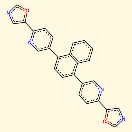 c1ccc2c(-c3ccc(-c4cnco4)nc3)ccc(-c3ccc(-c4cnco4)nc3)c2c1